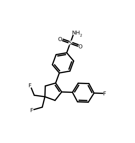 NS(=O)(=O)c1ccc(C2=C(c3ccc(F)cc3)CC(CF)(CF)C2)cc1